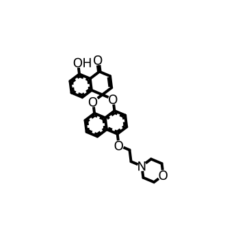 O=C1C=CC2(Oc3cccc4c(OCCN5CCOCC5)ccc(c34)O2)c2cccc(O)c21